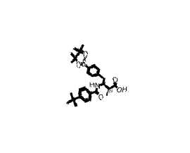 C[C@H](C(=O)O)C(Cc1ccc(B2OC(C)(C)C(C)(C)O2)cc1)NC(=O)c1ccc(C(C)(C)C)cc1